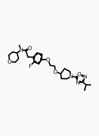 CC(C)c1noc(N2CCC(OCCOc3ccc(CC(=O)N(C)C4CCOCC4)c(F)c3)CC2)n1